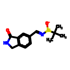 CC(C)(C)[S+]([O-])/N=C/c1ccc2c(c1)C(=O)NC2